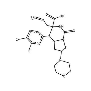 C=CCC1(C(=O)O)NC(=O)C2SC(N3CCOCC3)CC2C1c1ccc(Cl)c(Cl)c1